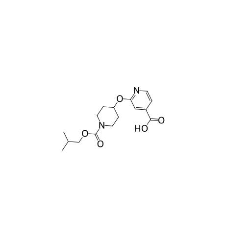 CC(C)COC(=O)N1CCC(Oc2cc(C(=O)O)ccn2)CC1